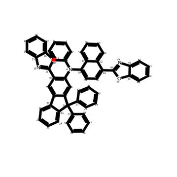 c1ccc(N(c2cc3c(cc2-c2nc4ccccc4o2)-c2ccccc2C3(c2ccccc2)c2ccccc2)c2ccc(-c3nc4ccccc4o3)c3ccccc23)cc1